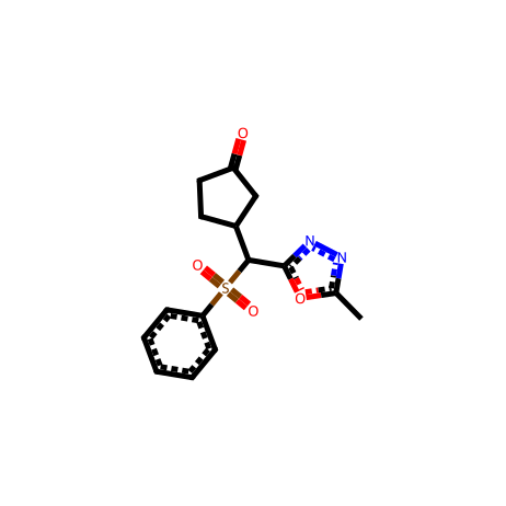 Cc1nnc(C(C2CCC(=O)C2)S(=O)(=O)c2ccccc2)o1